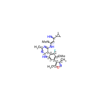 CN/C(=C\C(=N)C1CC1)NC1=NC(C)=NC2Nc3cc(-c4c(C)noc4C)c(OC)c(F)c3C12